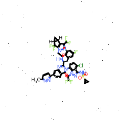 Cc1ccc(-c2ccc3c(=O)n(-c4ccc(Cl)c5c(NS(=O)(=O)C6CC6)nn(CC(F)F)c45)c([C@H](Cc4cc(F)cc(F)c4)NC(=O)Cn4nc(C(F)F)c5c4C(F)(F)[C@@H]4C[C@H]54)nc3c2)nn1